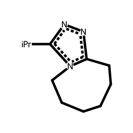 CC(C)c1nnc2n1CCCCCC2